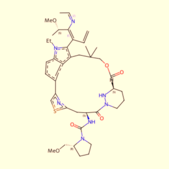 C=C/C(=C(\N=C/C)[C@H](C)OC)c1c2c3cc(ccc3n1CC)-c1csc(n1)C[C@H](NC(=O)N1CCC[C@@H]1COC)C(=O)N1CCC[C@H](N1)C(=O)OCC(C)(C)C2